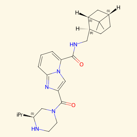 CC(C)[C@H]1CN(C(=O)c2cn3c(C(=O)NC[C@@H]4CC[C@H]5C[C@@H]4C5(C)C)cccc3n2)CCN1